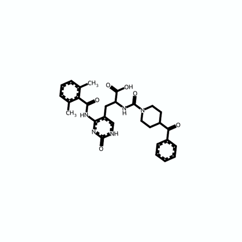 Cc1cccc(C)c1C(=O)Nc1nc(=O)[nH]cc1CC(NC(=O)N1CCC(C(=O)c2ccccc2)CC1)C(=O)O